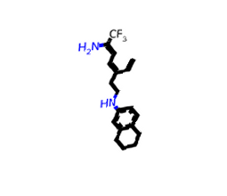 C=C/C(=C\C=C(/N)C(F)(F)F)CCNc1ccc2c(c1)CCCC2